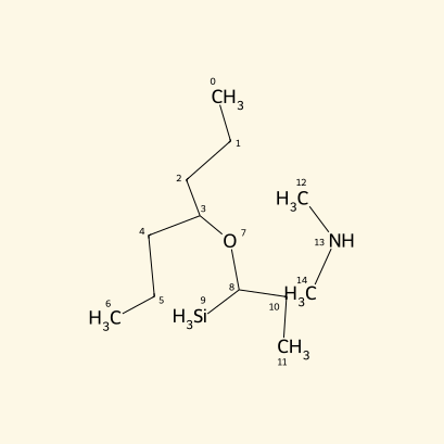 CCCC(CCC)OC([SiH3])CC.CNC